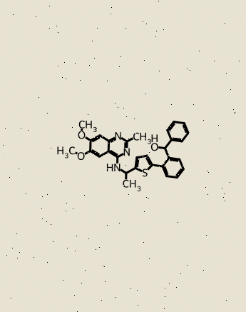 COc1cc2nc(C)nc(NC(C)c3ccc(-c4ccccc4C(O)c4ccccc4)s3)c2cc1OC